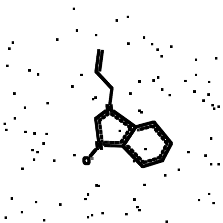 C=CCn1c[n+]([O-])c2ccccc21